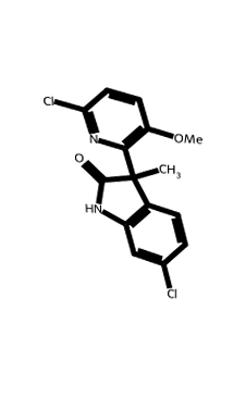 COc1ccc(Cl)nc1C1(C)C(=O)Nc2cc(Cl)ccc21